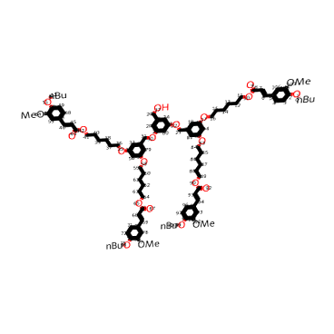 CCCCOc1ccc(C=CC(=O)OCCCCCCOc2cc(COc3cc(CO)cc(OCc4cc(OCCCCCCOC(=O)C=Cc5ccc(OCCCC)c(OC)c5)cc(OCCCCCCOC(=O)C=Cc5ccc(OCCCC)c(OC)c5)c4)c3)cc(OCCCCCCOC(=O)C=Cc3ccc(OCCCC)c(OC)c3)c2)cc1OC